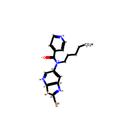 O=C(O)CCCCN(C(=O)c1ccncc1)c1cnc2sc(S)nc2c1